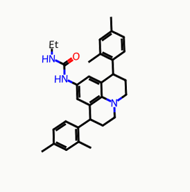 CCNC(=O)Nc1cc2c3c(c1)C(c1ccc(C)cc1C)CCN3CCC2c1ccc(C)cc1C